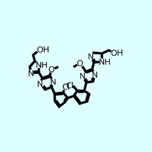 COc1nc(-c2cccc(-c3cccc(-c4cnc(C5=NCC(CO)N5)c(OC)n4)c3Cl)c2Cl)cnc1C1=NCC(CO)N1